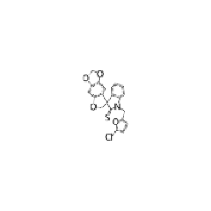 S=C1N(Cc2ccc(Cl)o2)c2ccccc2C12COc1cc3c(cc12)OCO3